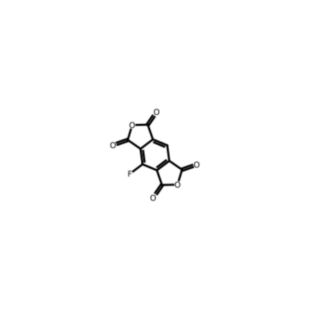 O=c1oc(=O)c2c(F)c3c(=O)oc(=O)c3cc12